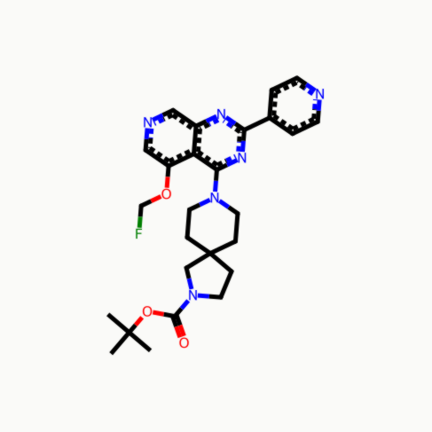 CC(C)(C)OC(=O)N1CCC2(CCN(c3nc(-c4ccncc4)nc4cncc(OCF)c34)CC2)C1